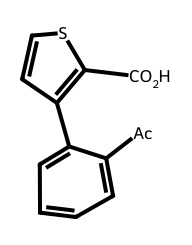 CC(=O)c1ccccc1-c1ccsc1C(=O)O